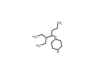 C1CNCCN1.CCCNN(CC)CC